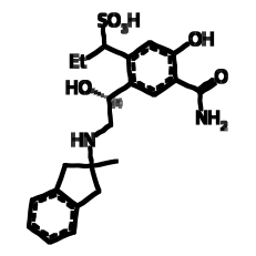 CCC(c1cc(O)c(C(N)=O)cc1[C@@H](O)CNC1(C)Cc2ccccc2C1)S(=O)(=O)O